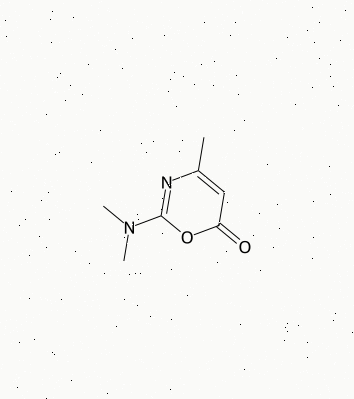 Cc1cc(=O)oc(N(C)C)n1